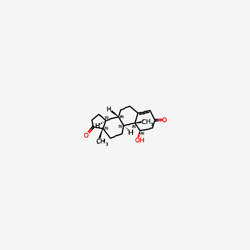 C[C@@]12C(=CC(=O)C[C@H]1O)CC[C@@H]1[C@@H]2CC[C@]2(C)C(=O)CC[C@@H]12